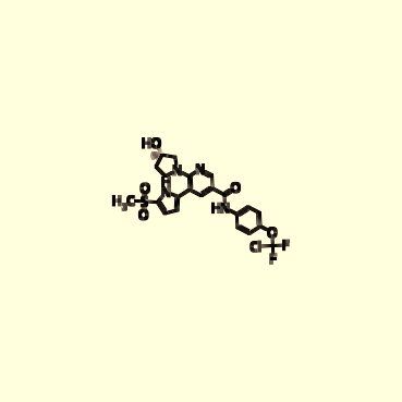 CS(=O)(=O)c1ccc(-c2cc(C(=O)Nc3ccc(OC(F)(F)Cl)cc3)cnc2N2CC[C@H](O)C2)[nH]1